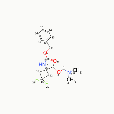 CN(C)COCC1(NC(=O)OCc2ccccc2)CC(F)(F)C1